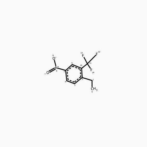 CCc1ccc([N+](=O)[O-])cc1C(F)(F)F